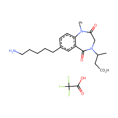 CC(CC(=O)O)N1CC(=O)N(C(C)C)c2ccc(CCCCCN)cc2C1=O.O=C(O)C(F)(F)F